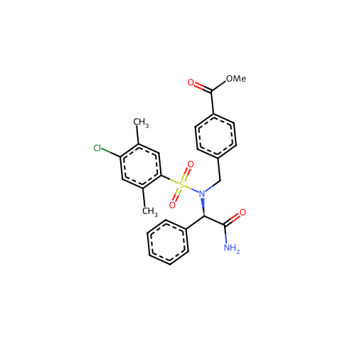 COC(=O)c1ccc(CN([C@@H](C(N)=O)c2ccccc2)S(=O)(=O)c2cc(C)c(Cl)cc2C)cc1